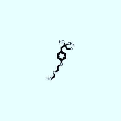 CC(O)(C=O)Cc1ccc(OCCOCO)cc1